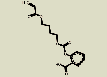 C=CC(=O)OCCCCOC(=O)Oc1ccccc1C(=O)O